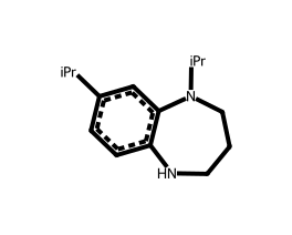 CC(C)c1ccc2c(c1)N(C(C)C)CCCN2